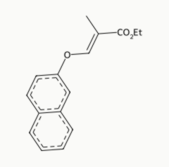 CCOC(=O)/C(C)=C/Oc1ccc2ccccc2c1